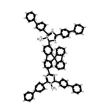 CN1C(c2ccc(-c3ccccc3)cc2)=NC(c2ccc3c(c2)C2(c4ccccc4-c4ccccc42)c2cc(C4N=C(c5ccc(-c6ccccc6)cc5)N=C(c5ccc(-c6ccccc6)cc5)N4C)ccc2-3)=NC1c1ccc(-c2ccccc2)cc1